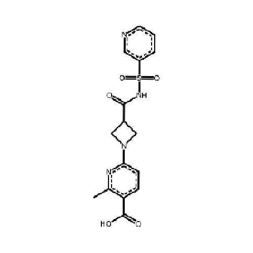 Cc1nc(N2CC(C(=O)NS(=O)(=O)c3cccnc3)C2)ccc1C(=O)O